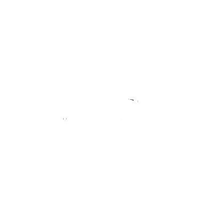 COc1ccc2c(c1)[C@@H](Br)[C@H](Br)CO2